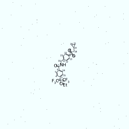 CCOC(c1ccc(C(=O)NCc2ccc(S(=O)(=O)CC3CC3)cc2)cc1)(C(F)(F)F)C(F)(F)F